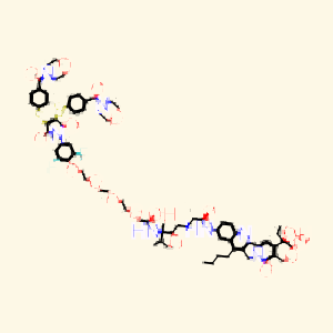 CCCCc1c2c(nc3ccc(NC(=O)[C@H](C)CCC(=O)C(C)(NC(O)COCCOCCOCCOc4c(F)cc(N5C(=O)C(Sc6ccc(C(=O)N7CCOCC7)cc6)=C(Sc6ccc(C(=O)N7CCOCC7)cc6)C5=O)cc4F)C(C)C)cc13)-c1cc3c(c(=O)n1C2)COC(=O)[C@]3(O)CC